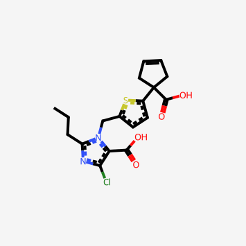 CCCc1nc(Cl)c(C(=O)O)n1Cc1ccc(C2(C(=O)O)CC=CC2)s1